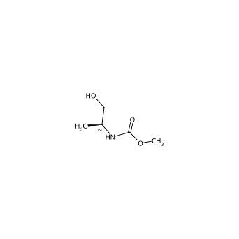 COC(=O)N[C@@H](C)CO